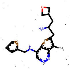 Cc1c(CC(N)CC2COC2)sc2c(NCc3cccs3)cnnc12